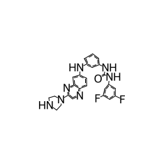 O=C(Nc1cc(F)cc(F)c1)Nc1cccc(Nc2ccc3ncc(N4CCNCC4)nc3c2)c1